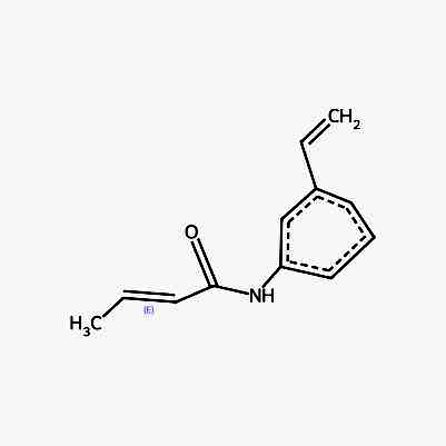 C=Cc1cccc(NC(=O)/C=C/C)c1